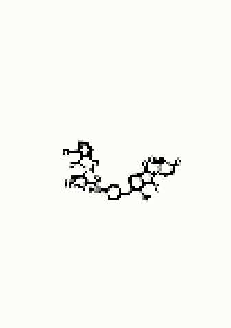 O=C1CCC(N2C(=O)c3ccc(CN4CCC(NC(=O)c5n[nH]cc5NC(=O)c5c(Cl)cccc5Cl)CC4)c(Br)c3C2=O)C(=O)N1